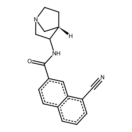 N#Cc1cccc2ccc(C(=O)NC3CN4CC[C@H]3C4)cc12